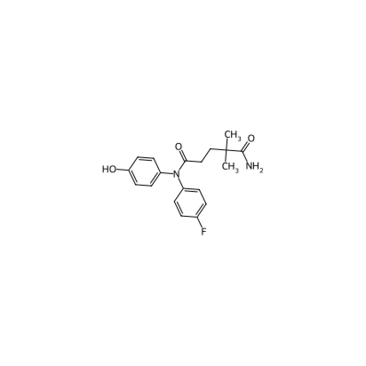 CC(C)(CCC(=O)N(c1ccc(O)cc1)c1ccc(F)cc1)C(N)=O